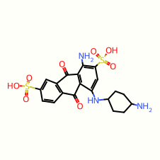 Nc1c(S(=O)(=O)O)cc(NC2CCC(N)CC2)c2c1C(=O)c1cc(S(=O)(=O)O)ccc1C2=O